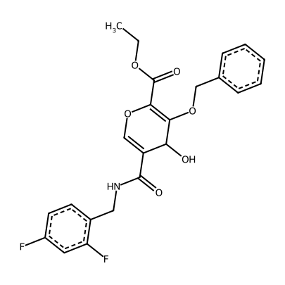 CCOC(=O)C1=C(OCc2ccccc2)C(O)C(C(=O)NCc2ccc(F)cc2F)=CO1